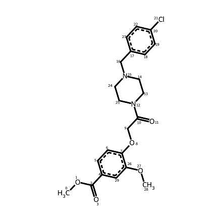 COC(=O)c1ccc(OCC(=O)N2CCN(Cc3ccc(Cl)cc3)CC2)c(OC)c1